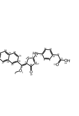 CO/C(=C1/SC(Nc2ccc(CC(=O)O)cc2)=NC1=O)c1ccc2ccccc2c1